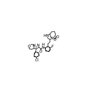 NC(C(=O)Nc1cccc(F)c1CCC1CNC2CCCS(=O)(=O)N1C2)C(c1ccc(Cl)cc1)C1CCOCC1